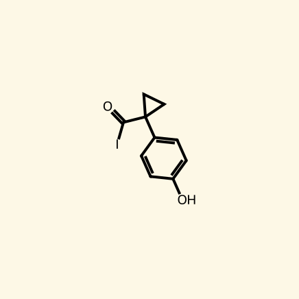 O=C(I)C1(c2ccc(O)cc2)CC1